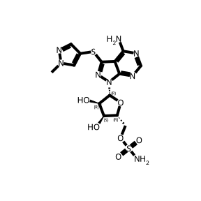 Cn1cc(Sc2nn([C@@H]3O[C@H](COS(N)(=O)=O)[C@@H](O)[C@H]3O)c3ncnc(N)c23)cn1